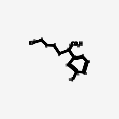 O=C(O)C(CCCCCl)c1cccc(F)c1